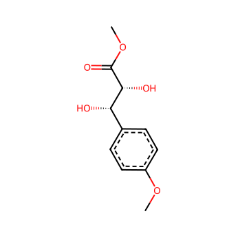 COC(=O)[C@H](O)[C@@H](O)c1ccc(OC)cc1